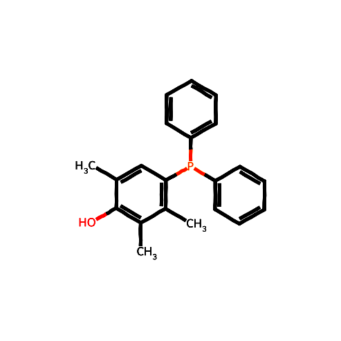 Cc1cc(P(c2ccccc2)c2ccccc2)c(C)c(C)c1O